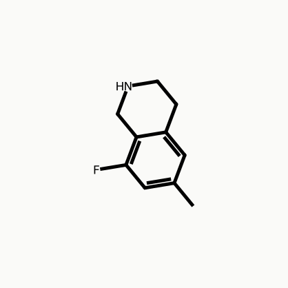 Cc1cc(F)c2c(c1)CCNC2